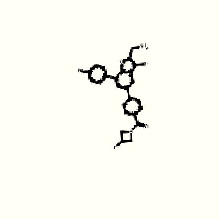 NCc1oc2c(-c3ccc(F)cc3)cc(-c3ccc(C(=O)N4CC(F)C4)cc3)cc2c1Br